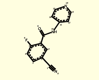 N#Cc1ccc(F)c(C(=O)Nc2ccncc2)c1